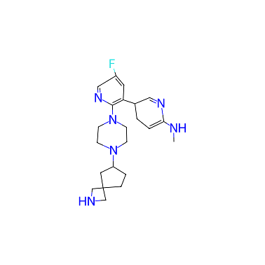 CNC1=CCC(c2cc(F)cnc2N2CCN(C3CCC4(CNC4)C3)CC2)C=N1